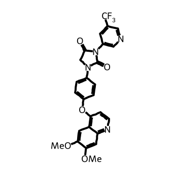 COc1cc2nccc(Oc3ccc(N4CC(=O)N(c5cncc(C(F)(F)F)c5)C4=O)cc3)c2cc1OC